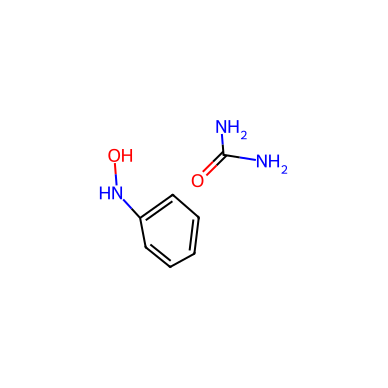 NC(N)=O.ONc1ccccc1